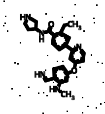 CCc1cc(-c2cc(Oc3ccc(C=N)c(NC)c3)ccn2)ccc1C(=O)NC1CCNC1